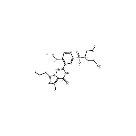 CCCc1nc(C)c2c(=O)[nH]c(-c3cc(S(=O)(=O)N(CCC)CCO)ccc3OCC)nn12